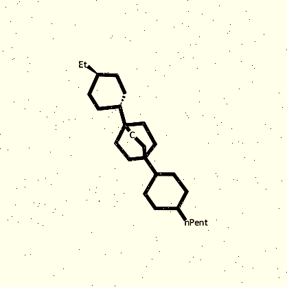 CCCCCC1CCC(C23CCC([C@H]4CC[C@H](CC)CC4)(CC2)CC3)CC1